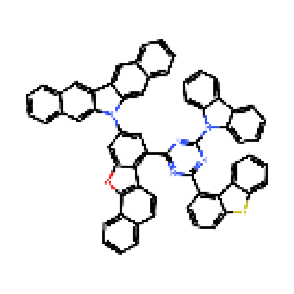 c1ccc2cc3c(cc2c1)c1cc2ccccc2cc1n3-c1cc(-c2nc(-c3cccc4sc5ccccc5c34)nc(-n3c4ccccc4c4ccccc43)n2)c2c(c1)oc1c3ccccc3ccc12